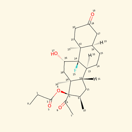 CCC(=O)O[C@]1(C(C)=O)[C@H](C)C[C@H]2[C@@H]3CC[C@@H]4CC(=O)CC[C@]4(C)[C@@]3(F)[C@@H](O)C[C@@]21C